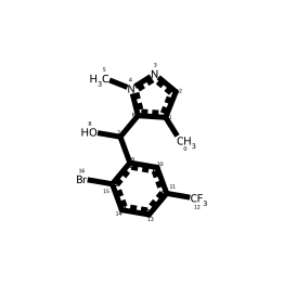 Cc1cnn(C)c1C(O)c1cc(C(F)(F)F)ccc1Br